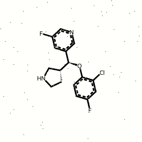 Fc1cncc([C@@H](Oc2ccc(F)cc2Cl)[C@@H]2CCNC2)c1